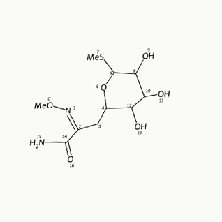 CON=C([CH]C1OC(SC)C(O)C(O)C1O)C(N)=O